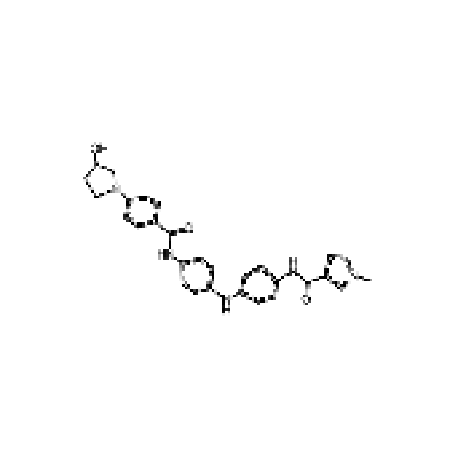 Cn1ccc(C(=O)Nc2ccc(Nc3ccc(NC(=O)c4ccc(N5CCC(O)C5)cc4)cc3)cc2)c1